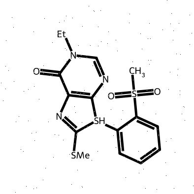 CCn1cnc2c(c1=O)N=C(SC)[SH]2c1ccccc1S(C)(=O)=O